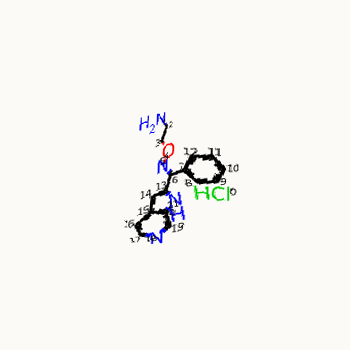 Cl.NCCON=C(c1ccccc1)c1cc2ccncc2[nH]1